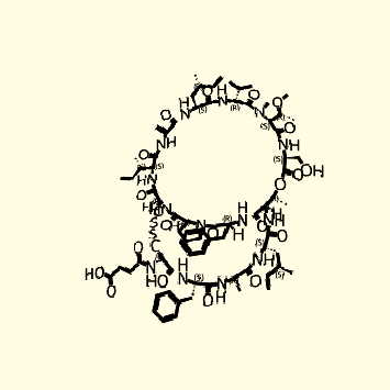 C=C1NC(=O)[C@H]([C@@H](C)CC)NC(=O)[C@@H]2CSSC[C@@H](NC(=O)CCC(=O)O)C(=O)N[C@@H](Cc3ccccc3)C(=O)N[C@H](C)C(=O)N[C@@H](C[C@@H](C)CC)C(=O)N[C@@H](C(=O)N[C@H](Cc3ccccc3)C(=O)N3CCC[C@H]3C(=O)N2)[C@@H](C)OC(=O)[C@H](CO)NC(=O)[C@H]([C@@H](C)OC)N(C)C(=O)[C@@H](C(C)C)NC(=O)[C@H](C[C@H](C)CC)NC1=O